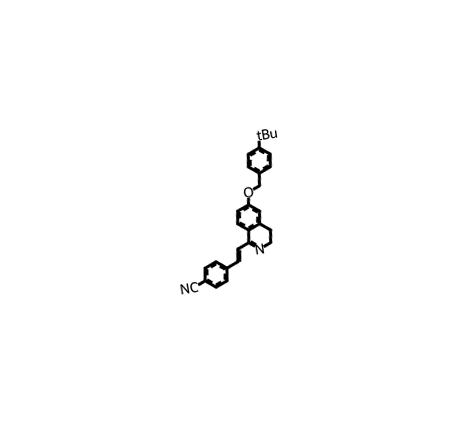 CC(C)(C)c1ccc(COc2ccc3c(c2)CCN=C3C=Cc2ccc(C#N)cc2)cc1